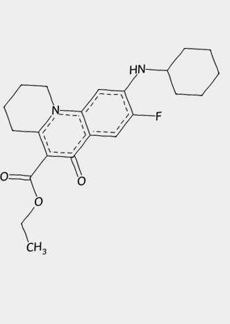 CCOC(=O)c1c2n(c3cc(NC4CCCCC4)c(F)cc3c1=O)CCCC2